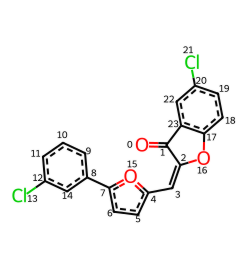 O=C1C(=Cc2ccc(-c3cccc(Cl)c3)o2)Oc2ccc(Cl)cc21